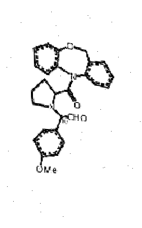 COc1ccc([C@H](C=O)N2CCCC2C(=O)N2c3ccccc3COc3ccccc32)cc1